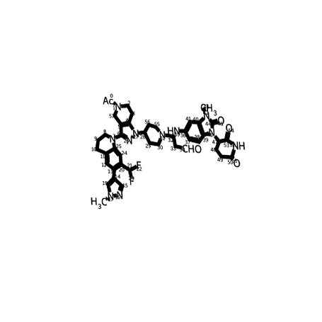 CC(=O)N1CCc2c(c(N3CCCc4cc(-c5cnn(C)c5)c(C(F)F)cc43)nn2C2CCN(C(CC=O)Nc3ccc4c(c3)n(C)c(=O)n4C3CCC(=O)NC3=O)CC2)C1